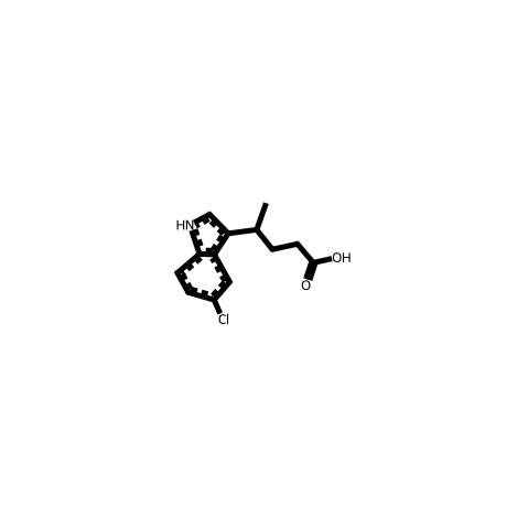 CC(CCC(=O)O)c1c[nH]c2ccc(Cl)cc12